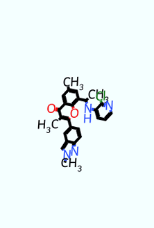 Cc1cc(C(C)Nc2cccnc2Cl)c2oc(-c3ccc4nn(C)cc4c3)c(C)c(=O)c2c1